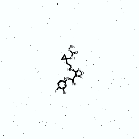 CC(C)(C)OC(=O)NC1(CCNc2nonc2C(=N)Nc2ccc(F)c(Br)c2)CC1